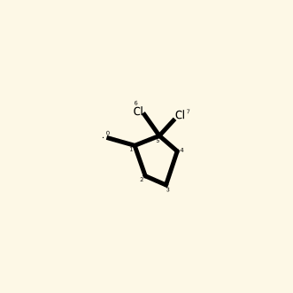 [CH2]C1CCCC1(Cl)Cl